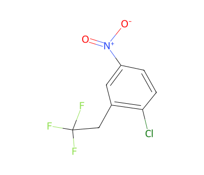 O=[N+]([O-])c1ccc(Cl)c(CC(F)(F)F)c1